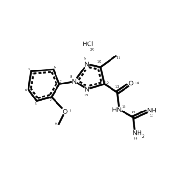 COc1ccccc1-n1nc(C)c(C(=O)NC(=N)N)n1.Cl